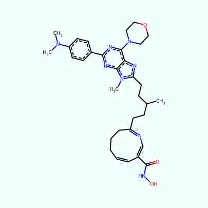 CC(CC/C1=N/C=C(C(=O)NO)\C=C/CCC1)CCc1nc2c(N3CCOCC3)nc(-c3ccc(N(C)C)cc3)nc2n1C